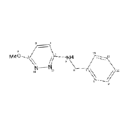 COc1ccc(NCc2ccccc2)nn1